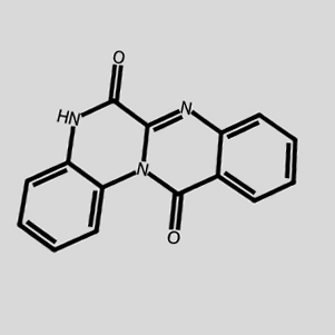 O=c1[nH]c2ccccc2n2c(=O)c3ccccc3nc12